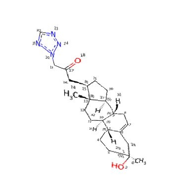 C[C@]1(O)CC[C@H]2C(=CC[C@@H]3[C@@H]2CC[C@]2(C)[C@@H](CC(=O)Cn4ncnn4)CC[C@@H]32)C1